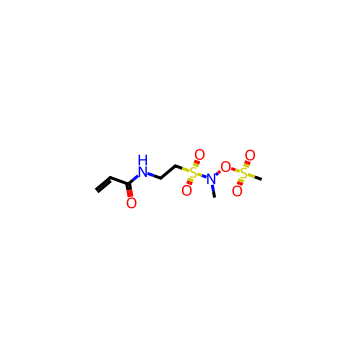 C=CC(=O)NCCS(=O)(=O)N(C)OS(C)(=O)=O